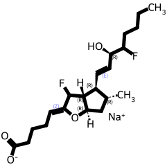 CCCCC(F)[C@H](O)/C=C/[C@@H]1[C@H]2C(F)/C(=C/CCCC(=O)[O-])O[C@@H]2C[C@H]1C.[Na+]